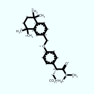 CN(C)C(=O)[C@H](CC(=O)O)c1ccc(OCc2ccc3c(c2)C(C)(C)CCC3(C)C)cc1